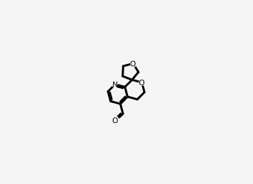 O=Cc1ccnc2c1CCOC21CCOC1